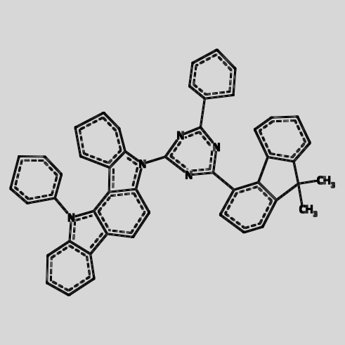 CC1(C)c2ccccc2-c2c(-c3nc(-c4ccccc4)nc(-n4c5ccccc5c5c4ccc4c6ccccc6n(-c6ccccc6)c45)n3)cccc21